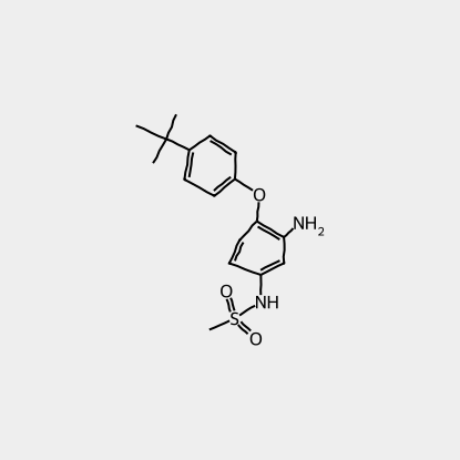 CC(C)(C)c1ccc(Oc2ccc(NS(C)(=O)=O)cc2N)cc1